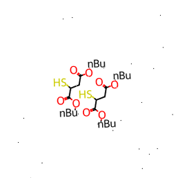 CCCCOC(=O)CC(S)C(=O)OCCCC.CCCCOC(=O)CC(S)C(=O)OCCCC